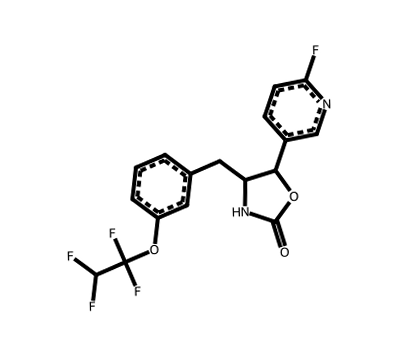 O=C1NC(Cc2cccc(OC(F)(F)C(F)F)c2)C(c2ccc(F)nc2)O1